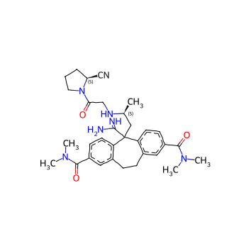 C[C@@H](CC1(C(=N)N)c2ccc(C(=O)N(C)C)cc2CCc2cc(C(=O)N(C)C)ccc21)NCC(=O)N1CCC[C@H]1C#N